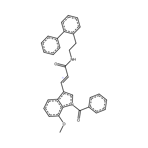 COc1cccc2c(/C=C/C(=O)NCCc3ccccc3-c3ccccc3)cn(C(=O)c3ccccc3)c12